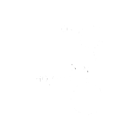 O=C(O)c1nn(Cc2cccc(Cl)c2)c2c1CCCCCC2